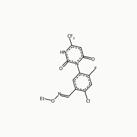 CCON=Cc1cc(-n2c(=O)cc(C(F)(F)F)[nH]c2=O)c(F)cc1Cl